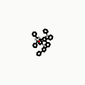 c1ccc(-c2ccc3c4cccc(-c5cc(-c6nc(-c7ccccc7)nc(-c7ccccc7)n6)cc6c5c5ccccc5n6-c5ccccc5)c4n(-c4ccccc4)c3c2)cc1